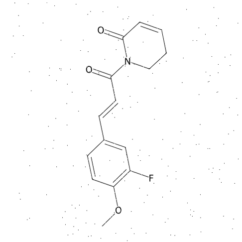 COc1ccc(C=CC(=O)N2CCC=CC2=O)cc1F